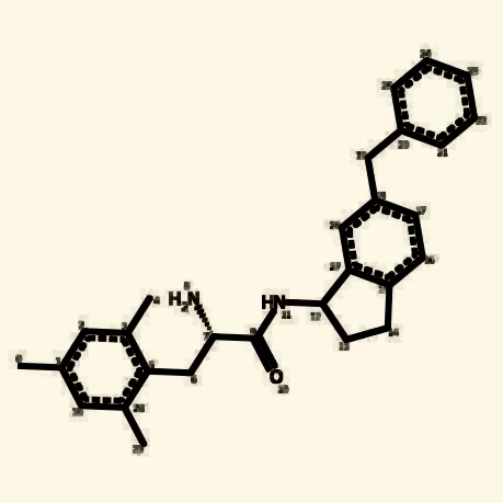 Cc1cc(C)c(C[C@H](N)C(=O)NC2CCc3ccc(Cc4ccccc4)cc32)c(C)c1